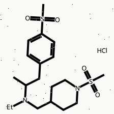 CCN(CC1CCN(S(C)(=O)=O)CC1)C(C)Cc1ccc(S(C)(=O)=O)cc1.Cl